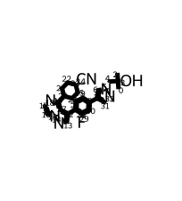 CC(C)(O)Cn1cc(-c2ccc(-c3cnn4ccnc(C5CCC(C#N)CC5)c34)c(F)c2)cn1